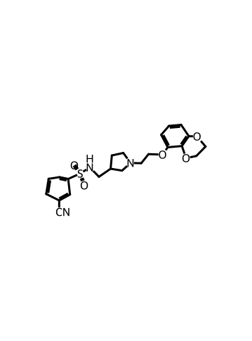 N#Cc1cccc(S(=O)(=O)NCC2CCN(CCOc3cccc4c3OCCO4)C2)c1